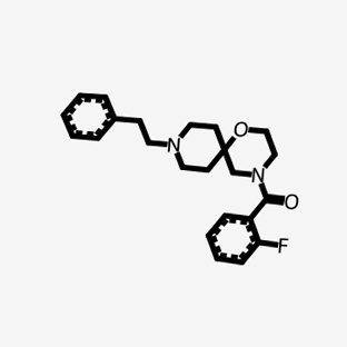 O=C(c1ccccc1F)N1CCOC2(CCN(CCc3ccccc3)CC2)C1